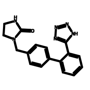 O=C1NCCN1Cc1ccc(-c2ccccc2-c2nnn[nH]2)cc1